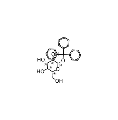 OC[C@H]1O[C@@H](OC(c2ccccc2)(c2ccccc2)c2ccccc2)[C@H](O)[C@@H](O)[C@@H]1O